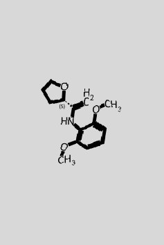 C=C(Nc1c(OC)cccc1OC)[C@@H]1CCCO1